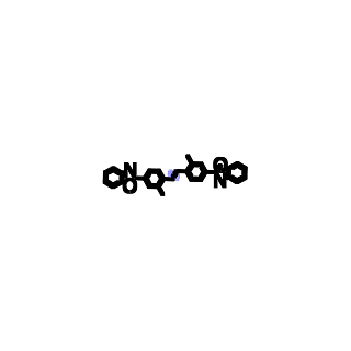 Cc1cc(-c2nc3ccccc3o2)ccc1/C=C/c1ccc(-c2nc3ccccc3o2)cc1C